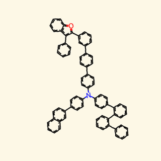 c1ccc(-c2ccccc2-c2ccccc2-c2ccc(N(c3ccc(-c4ccc(-c5cccc(-c6oc7ccccc7c6-c6ccccc6)c5)cc4)cc3)c3ccc(-c4ccc5ccccc5c4)cc3)cc2)cc1